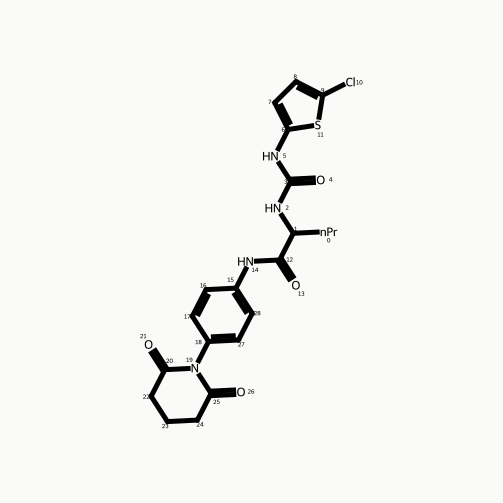 CCCC(NC(=O)Nc1ccc(Cl)s1)C(=O)Nc1ccc(N2C(=O)CCCC2=O)cc1